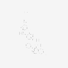 Cn1nc(-c2cccc(-n3ncc4cc(C(C)(C)C)cc(F)c4c3=O)c2CO)cc(Nc2ccc(N3CCC(O)CC3)cn2)c1=O